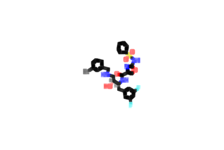 CCc1cccc(CNC[C@@H](O)[C@H](Cc2cc(F)cc(F)c2)NC(=O)c2coc(NS(=O)(=O)c3ccccc3)n2)c1